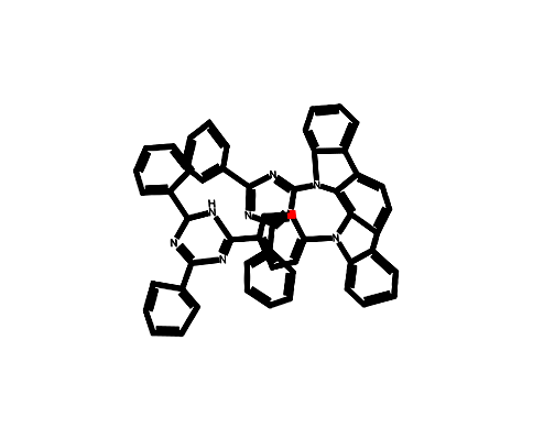 c1ccc(C2=NC(c3ccccc3)NC(c3ccc(-n4c5ccccc5c5ccc6c7ccccc7n(-c7nc(-c8ccccc8)nc(-c8ccccc8)n7)c6c54)cc3)=N2)cc1